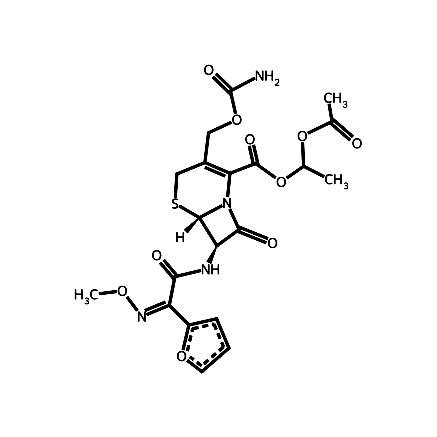 CO/N=C(\C(=O)N[C@@H]1C(=O)N2C(C(=O)OC(C)OC(C)=O)=C(COC(N)=O)CS[C@@H]12)c1ccco1